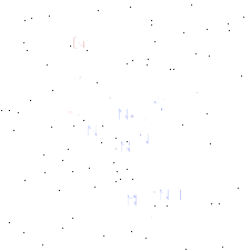 O=c1nc2n(Cc3c[nH]cn3)nc(N3CCCC3)n2c2ccc(Br)cc12